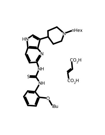 CCCCCCN1CCC(c2c[nH]c3ccc(NC(=S)Nc4ccccc4OC(C)CC)nc23)CC1.O=C(O)/C=C/C(=O)O